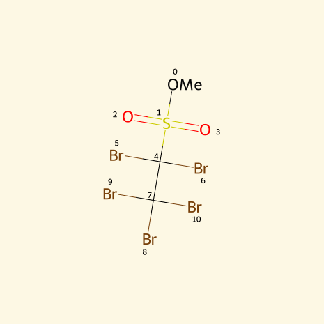 COS(=O)(=O)C(Br)(Br)C(Br)(Br)Br